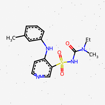 CCN(C)C(=O)NS(=O)(=O)c1cnccc1Nc1cccc(C)c1